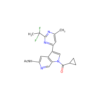 CC(=O)Nc1cc2c(-c3cc(C)nc(C(C)(F)F)n3)cn(C(=O)C3CC3)c2cn1